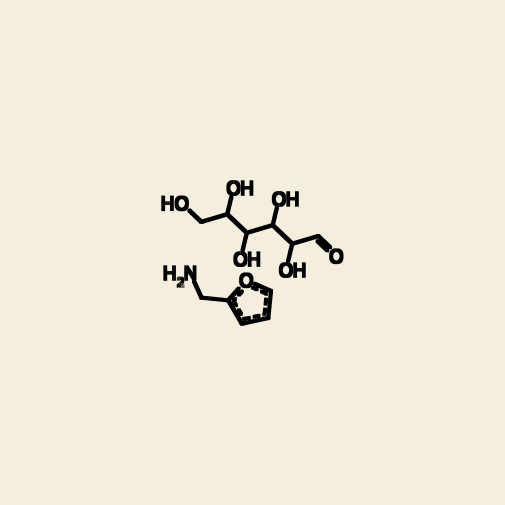 NCc1ccco1.O=CC(O)C(O)C(O)C(O)CO